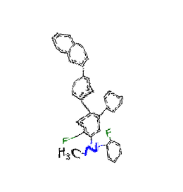 CN(c1ccccc1F)c1cc(-c2ccccc2)c(-c2ccc(-c3ccc4ccccc4c3)cc2)cc1F